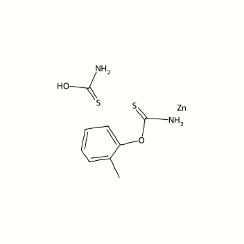 Cc1ccccc1OC(N)=S.NC(O)=S.[Zn]